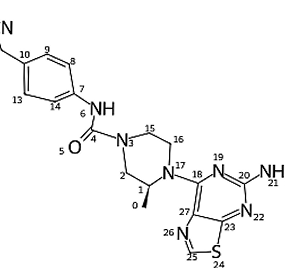 C[C@H]1CN(C(=O)Nc2ccc(CC#N)cc2)CCN1c1nc(N)nc2scnc12